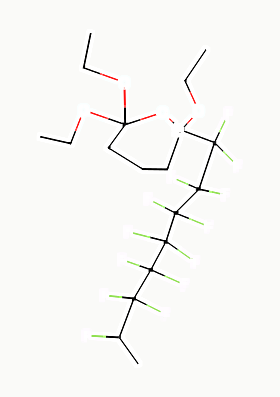 CCOC1(OCC)CCC[Si](OCC)(C(F)(F)C(F)(F)C(F)(F)C(F)(F)C(F)(F)C(F)(F)C(C)F)O1